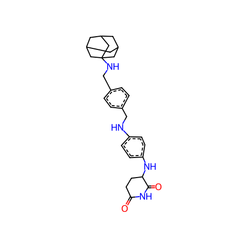 O=C1CCC(Nc2ccc(NCc3ccc(CNC45CC6CC(CC(C6)C4)C5)cc3)cc2)C(=O)N1